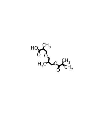 C=C(C)C(=O)OCC(C)COCC(C)C(=O)O